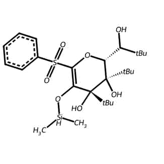 C[SiH](C)OC1=C(S(=O)(=O)c2ccccc2)O[C@H](C(O)C(C)(C)C)[C@](O)(C(C)(C)C)[C@@]1(O)C(C)(C)C